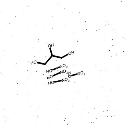 O=[N+]([O-])O.O=[N+]([O-])O.O=[N+]([O-])O.O=[N+]([O-])O.OCC(O)CO